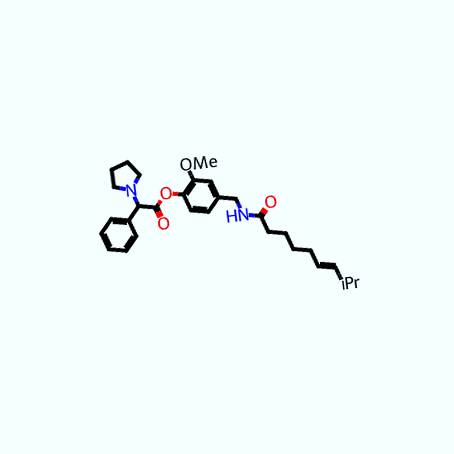 COc1cc(CNC(=O)CCCC/C=C/C(C)C)ccc1OC(=O)C(c1ccccc1)N1CCCC1